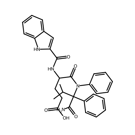 CC(C)C(C(N)=O)(c1ccccc1)N(C(=O)C(CCC(=O)O)NC(=O)c1cc2ccccc2[nH]1)c1ccccc1